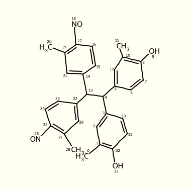 Cc1cc(C(c2ccc(O)c(C)c2)C(c2ccc(N=O)c(C)c2)c2ccc(N=O)c(C)c2)ccc1O